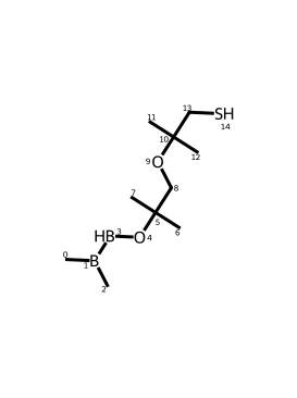 CB(C)BOC(C)(C)COC(C)(C)CS